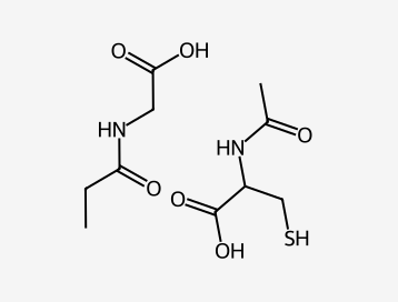 CC(=O)NC(CS)C(=O)O.CCC(=O)NCC(=O)O